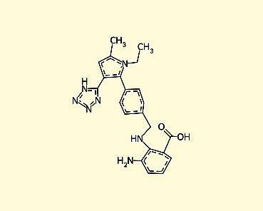 CCn1c(C)cc(-c2nnn[nH]2)c1-c1ccc(CNc2c(N)cccc2C(=O)O)cc1